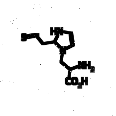 NC(CN1C=CNC1C[C]=S)C(=O)O